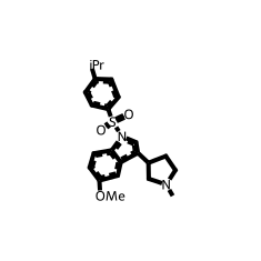 COc1ccc2c(c1)c(C1CCN(C)C1)cn2S(=O)(=O)c1ccc(C(C)C)cc1